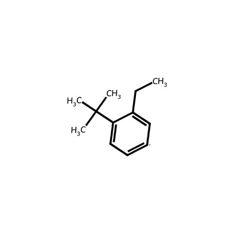 CCc1c[c]ccc1C(C)(C)C